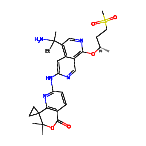 CCC(C)(N)c1cnc(O[C@@H](C)CCS(C)(=O)=O)c2cnc(Nc3ccc4c(n3)C3(CC3)C(C)(C)OC4=O)cc12